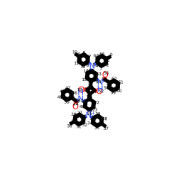 Cc1ccc(N(c2ccc(C)cc2)c2ccc(C3=C([O-])/C(=C4/C=CC(=[N+](c5ccc(C)cc5)c5ccc(C)cc5)C=C4NC(=O)c4ccccc4)C3=O)c(NC(=O)c3ccccc3)c2)cc1